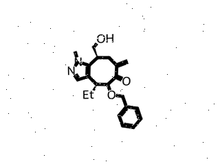 C=C1C[C@H](CO)c2c(cnn2C)[C@H](CC)C(OCc2ccccc2)C1=O